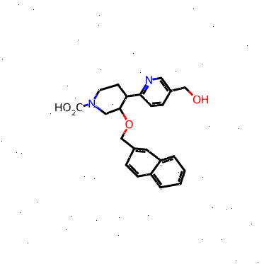 O=C(O)N1CCC(c2ccc(CO)cn2)C(OCc2ccc3ccccc3c2)C1